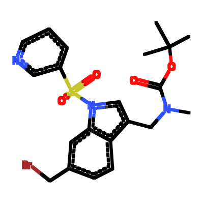 CN(Cc1cn(S(=O)(=O)c2cccnc2)c2cc(CBr)ccc12)C(=O)OC(C)(C)C